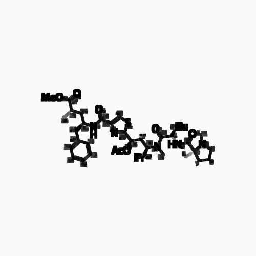 CC[C@H](C)[C@H](NC(=O)[C@]1(C)CCCN1C)C(=O)N(C)[C@H](C[C@@H](OC(C)=O)c1nc(C(=O)N[C@@H](Cc2ccccc2)C[C@H](C)C(=O)OC)cs1)C(C)C